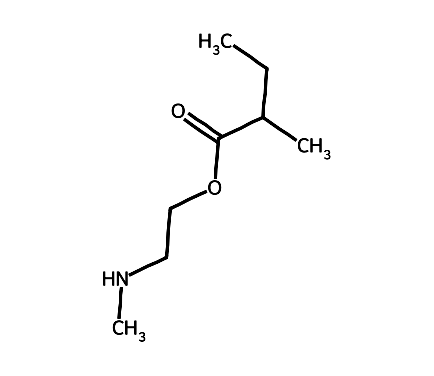 CCC(C)C(=O)OCCNC